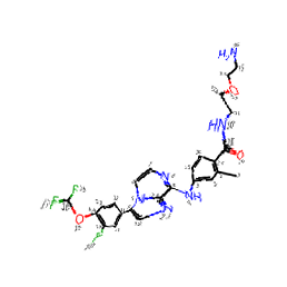 Cc1cc(Nc2nccn3c(-c4ccc(OC(F)F)c(F)c4)cnc23)ccc1C(=O)NCCOCCN